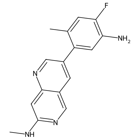 CNc1cc2ncc(-c3cc(N)c(F)cc3C)cc2cn1